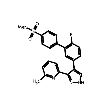 CNS(=O)(=O)c1ccc(-c2cc(-c3c[nH]nc3-c3cccc(C)n3)ccc2F)cc1